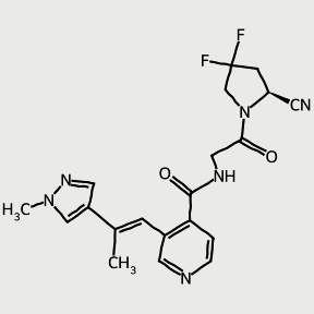 C/C(=C\c1cnccc1C(=O)NCC(=O)N1CC(F)(F)C[C@H]1C#N)c1cnn(C)c1